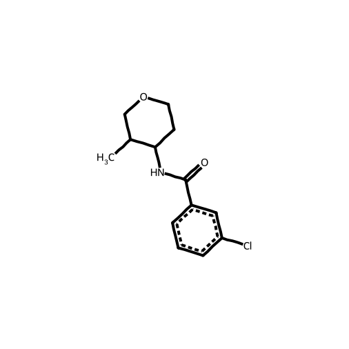 CC1COCCC1NC(=O)c1cccc(Cl)c1